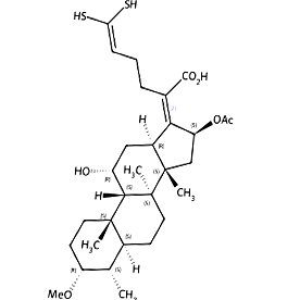 CO[C@@H]1CC[C@@]2(C)[C@@H](CC[C@@]3(C)[C@H]2[C@H](O)C[C@H]2/C(=C(\CCC=C(S)S)C(=O)O)[C@@H](OC(C)=O)C[C@@]23C)[C@@H]1C